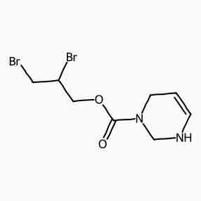 O=C(OCC(Br)CBr)N1CC=CNC1